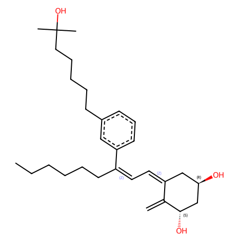 C=C1/C(=C\C=C(\CCCCCC)c2cccc(CCCCCC(C)(C)O)c2)C[C@@H](O)C[C@@H]1O